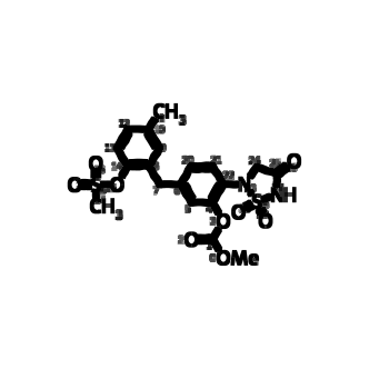 COC(=O)Oc1cc(Cc2cc(C)ccc2OS(C)(=O)=O)ccc1N1CC(=O)NS1(=O)=O